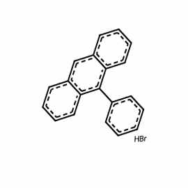 Br.c1ccc(-c2c3ccccc3cc3ccccc23)cc1